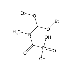 CCOC(OCC)N(C)C(=O)P(=O)(O)O